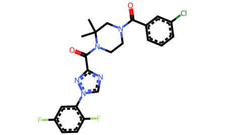 CC1(C)CN(C(=O)c2cccc(Cl)c2)CCN1C(=O)c1ncn(-c2cc(F)ccc2F)n1